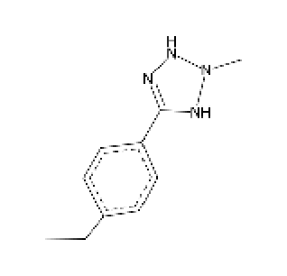 CCc1ccc(C2=NNN(C)N2)cc1